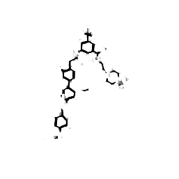 CCOc1cc(OCc2ccc(OC)cc2)ncc1-c1ccc(CC(=O)Nc2cc(C(=O)NCCN3CCS(=O)(=O)CC3)cc(C(F)(F)F)c2)c(F)c1